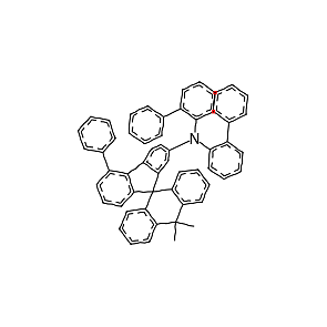 CC1(C)c2ccccc2C2(c3cc(N(c4ccccc4-c4ccccc4)c4ccccc4-c4ccccc4)ccc3-c3c(-c4ccccc4)cccc32)c2ccccc21